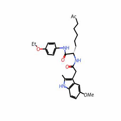 CCOc1ccc(NC(=O)[C@H](CCCCCC(C)=O)NC(=O)Cc2c(C)[nH]c3ccc(OC)cc23)cc1